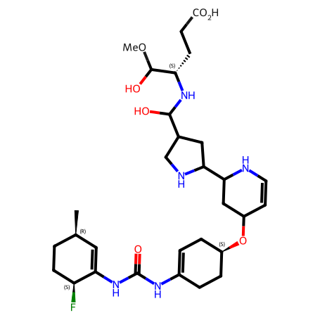 COC(O)[C@H](CCC(=O)O)NC(O)C1CNC(C2CC(O[C@@H]3CC=C(NC(=O)NC4=C[C@H](C)CC[C@@H]4F)CC3)C=CN2)C1